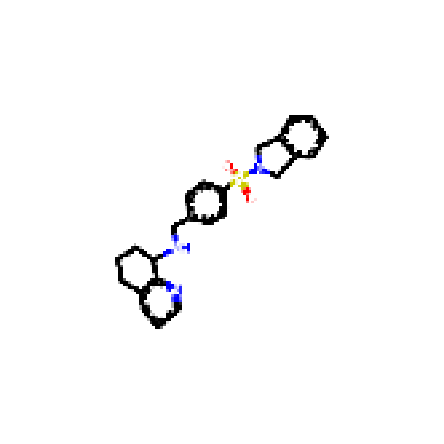 O=S(=O)(c1ccc(CNC2CCCc3cccnc32)cc1)N1Cc2ccccc2C1